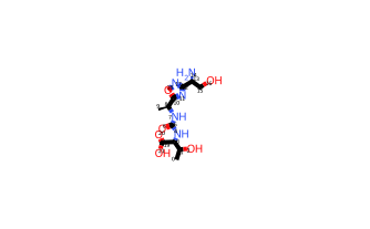 CC(O)C(NC(=O)N[C@@H](C)c1nc([C@@H](N)CO)no1)C(=O)O